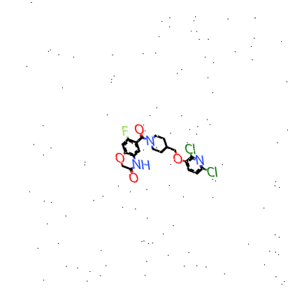 O=C1COc2cc(F)c(C(=O)N3CCC(COc4ccc(Cl)nc4Cl)CC3)cc2N1